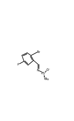 CC(C)(C)[S@+]([O-])N=Cc1cc(F)ccc1Br